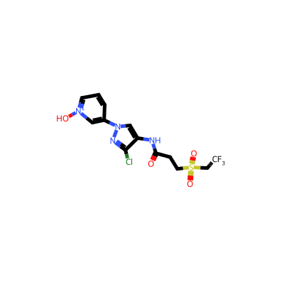 O=C(CCS(=O)(=O)CC(F)(F)F)Nc1cn(-c2ccc[n+](O)c2)nc1Cl